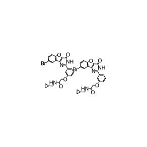 O=C(COc1cccc(-c2nc3c(oc4ccc(Br)cc43)c(=O)[nH]2)c1)NCC1CC1.O=C(COc1cccc(-c2nc3c(oc4ccc(Br)cc43)c(=O)[nH]2)c1)NCC1CC1